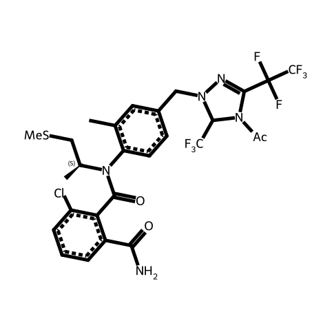 CSC[C@H](C)N(C(=O)c1c(Cl)cccc1C(N)=O)c1ccc(CN2N=C(C(F)(F)C(F)(F)F)N(C(C)=O)C2C(F)(F)F)cc1C